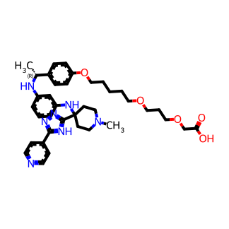 C[C@@H](Nc1cccc(NC2(c3nnc(-c4ccncc4)[nH]3)CCN(C)CC2)c1)c1ccc(OCCCCCOCCCOCC(=O)O)cc1